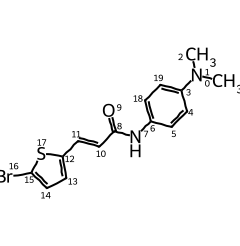 CN(C)c1ccc(NC(=O)/C=C/c2ccc(Br)s2)cc1